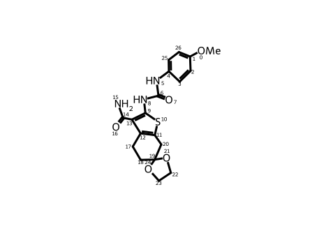 COc1ccc(NC(=O)Nc2sc3c(c2C(N)=O)CCC2(C3)OCCO2)cc1